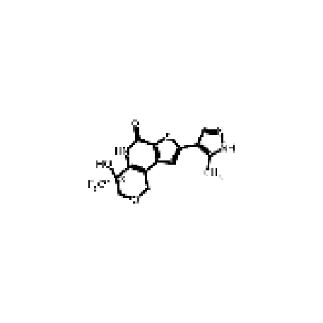 Cc1[nH]ncc1-c1cc2c3c([nH]c(=O)c2s1)[C@@](O)(C(F)(F)F)COC3